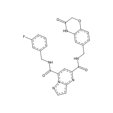 O=C1COc2ccc(CNC(=O)c3cc(C(=O)NCc4cccc(F)c4)n4nccc4n3)cc2N1